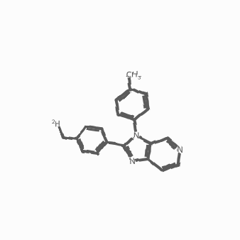 [2H]Cc1ccc(-c2nc3ccncc3n2-c2ccc(C)cc2)cc1